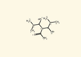 CCCC(N(C)C)N(C(N)=S)C(CCC)N(C)C